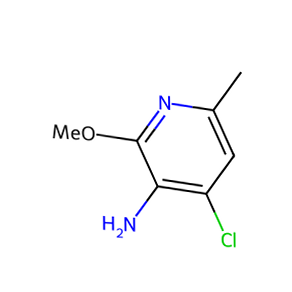 COc1nc(C)cc(Cl)c1N